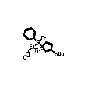 CCCCC1=C[C]([Ti+3])([Si](CC)(CC)c2ccccc2)C=C1.[Cl-].[Cl-].[Cl-]